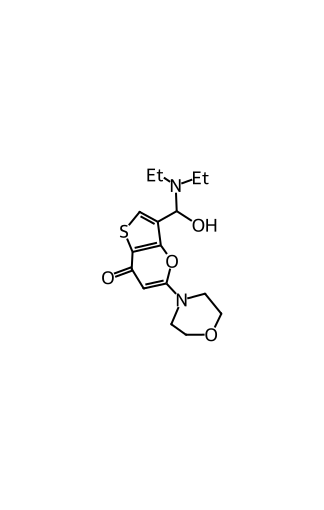 CCN(CC)C(O)c1csc2c(=O)cc(N3CCOCC3)oc12